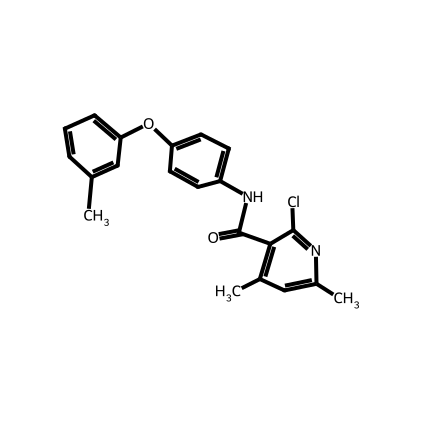 Cc1cccc(Oc2ccc(NC(=O)c3c(C)cc(C)nc3Cl)cc2)c1